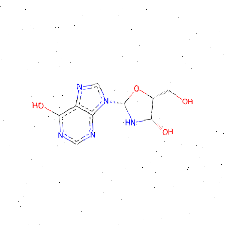 OC[C@H]1O[C@@H](n2cnc3c(O)ncnc32)N[C@H]1O